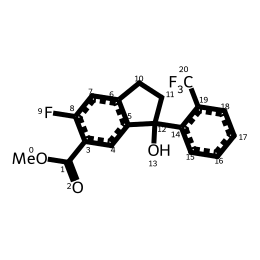 COC(=O)c1cc2c(cc1F)CCC2(O)c1ccccc1C(F)(F)F